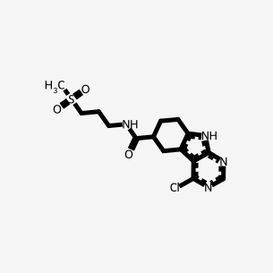 CS(=O)(=O)CCCNC(=O)C1CCc2[nH]c3ncnc(Cl)c3c2C1